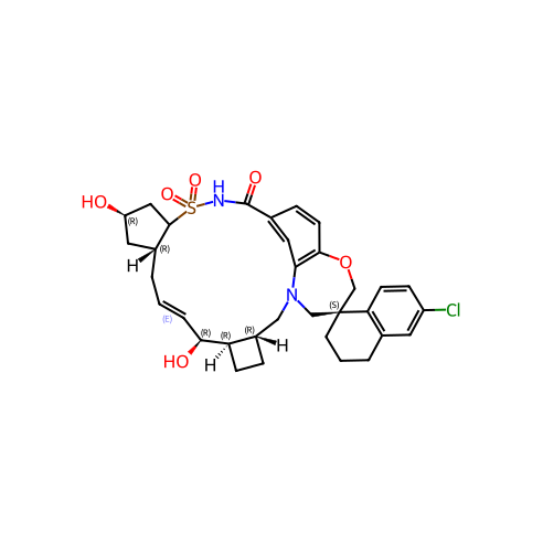 O=C1NS(=O)(=O)C2C[C@H](O)C[C@H]2C/C=C/[C@H](O)[C@@H]2CC[C@H]2CN2C[C@@]3(CCCc4cc(Cl)ccc43)COc3ccc1cc32